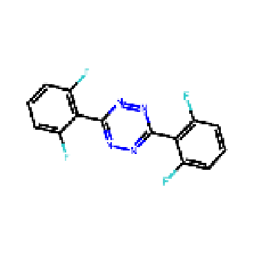 Fc1cccc(F)c1-c1nnc(-c2c(F)cccc2F)nn1